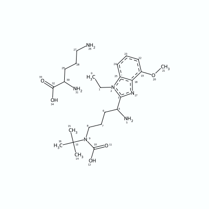 CCn1c(C(N)CCCN(C(=O)O)C(C)(C)C)nc2c(OC)cccc21.NCCCC(N)C(=O)O